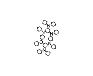 c1ccc(Oc2cc(N(c3ccccc3)c3ccccc3)cc(N(c3ccccc3)c3ccc(N(c4ccccc4)c4cc(N(c5ccccc5)c5ccccc5)cc(N(c5ccccc5)c5ccccc5)c4)cc3)c2)cc1